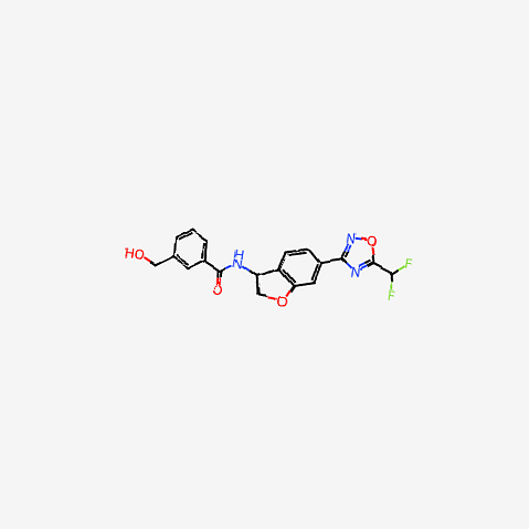 O=C(NC1COc2cc(-c3noc(C(F)F)n3)ccc21)c1cccc(CO)c1